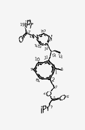 Cc1c(COC(=O)C(C)C)cccc1[C@H](C)c1cn(C(=O)C(C)C)cn1